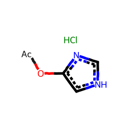 CC(=O)Oc1c[nH]cn1.Cl